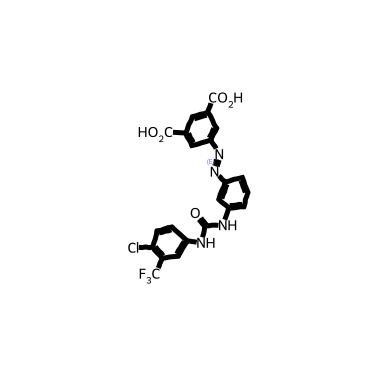 O=C(Nc1cccc(/N=N/c2cc(C(=O)O)cc(C(=O)O)c2)c1)Nc1ccc(Cl)c(C(F)(F)F)c1